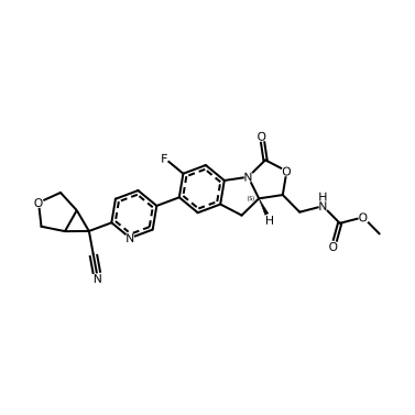 COC(=O)NCC1OC(=O)N2c3cc(F)c(-c4ccc(C5(C#N)C6COCC65)nc4)cc3C[C@@H]12